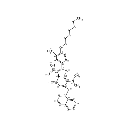 CCCCCCCOc1ccc(-c2sc3c(N(C)C)c(Cc4cccc5ccccc45)cc(=O)n3c2C(=O)O)cc1C